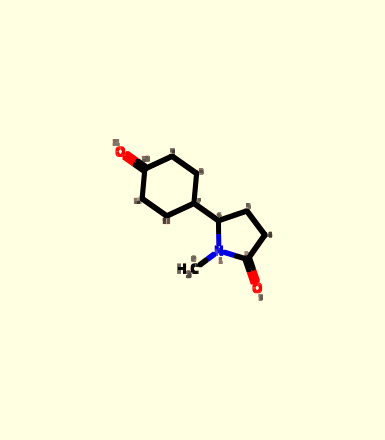 CN1C(=O)CCC1C1CCC(=O)CC1